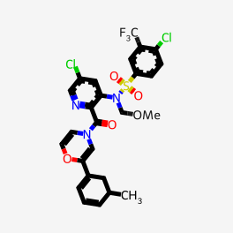 COCN(c1cc(Cl)cnc1C(=O)N1C=COC(C2=CC=CC(C)C2)=C1)S(=O)(=O)c1ccc(Cl)c(C(F)(F)F)c1